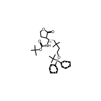 CC(C)(CCO[Si](c1ccccc1)(c1ccccc1)C(C)(C)C)C[C@H](NC(=O)OC(C)(C)C)C1CCOC1=O